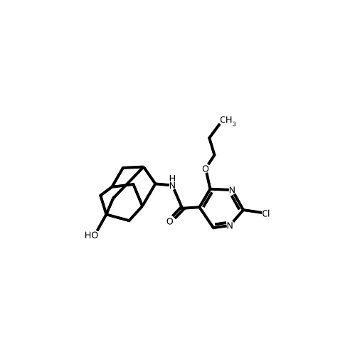 CCCOc1nc(Cl)ncc1C(=O)NC1C2CC3CC1CC(O)(C3)C2